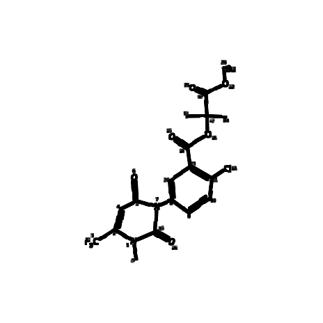 Cn1c(C(F)(F)F)cc(=O)n(-c2ccc(Cl)c(C(=O)OC(C)(C)C(=O)OC(C)(C)C)c2)c1=O